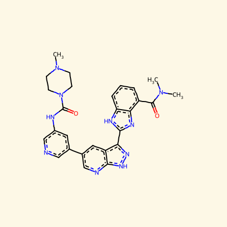 CN1CCN(C(=O)Nc2cncc(-c3cnc4[nH]nc(-c5nc6c(C(=O)N(C)C)cccc6[nH]5)c4c3)c2)CC1